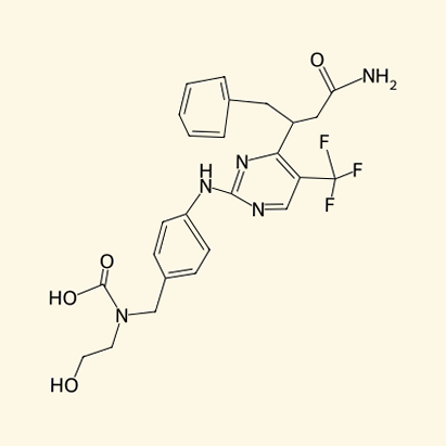 NC(=O)CC(Cc1ccccc1)c1nc(Nc2ccc(CN(CCO)C(=O)O)cc2)ncc1C(F)(F)F